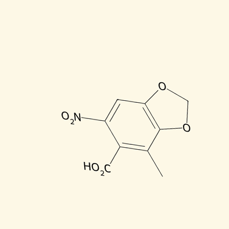 Cc1c2c(cc([N+](=O)[O-])c1C(=O)O)OCO2